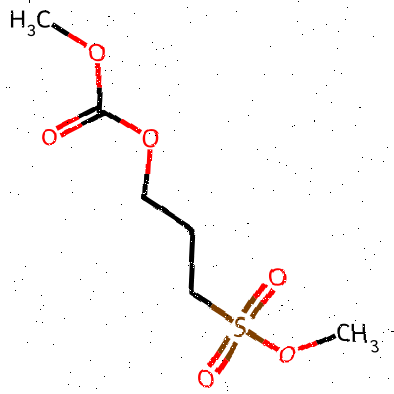 COC(=O)OCCCS(=O)(=O)OC